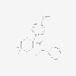 COc1ccc(C2(C(=O)C(=O)c3ccccc3)OCC(C)(C)CO2)cc1